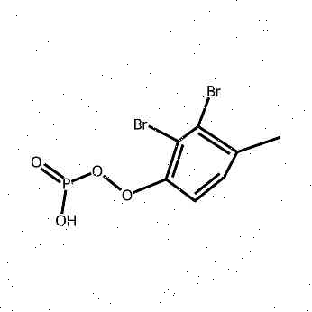 Cc1ccc(OO[P](=O)O)c(Br)c1Br